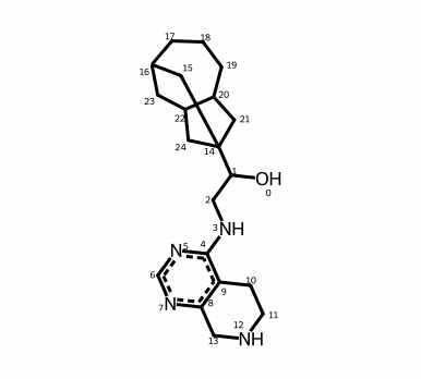 OC(CNc1ncnc2c1CCNC2)C12CC3CCCC(C1)C(C3)C2